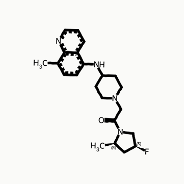 Cc1ccc(NC2CCN(CC(=O)N3C[C@@H](F)C[C@H]3C)CC2)c2cccnc12